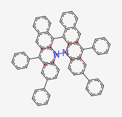 c1ccc(-c2ccc(N(c3ccc(-c4ccccc4)cc3)c3ccc4ccccc4c3-c3c(N(c4ccc(-c5ccccc5)cc4)c4ccc(-c5ccccc5)cc4)ccc4ccccc34)cc2)cc1